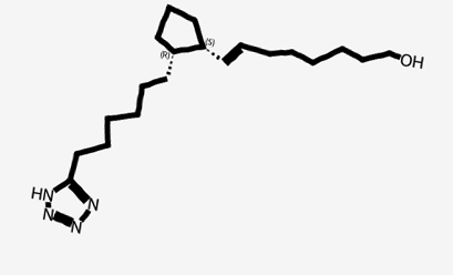 OCCCCCCC=C[C@H]1CCC[C@H]1CCCCCCc1nnn[nH]1